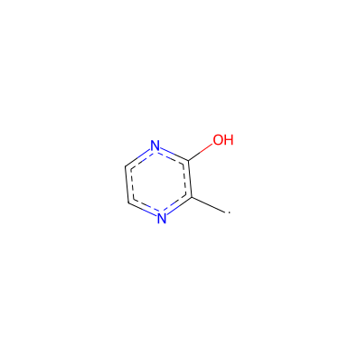 [CH2]c1nccnc1O